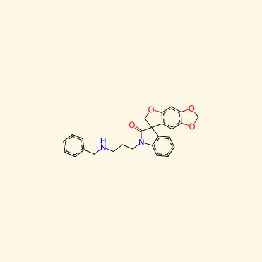 O=C1N(CCCNCc2ccccc2)c2ccccc2C12COc1cc3c(cc12)OCO3